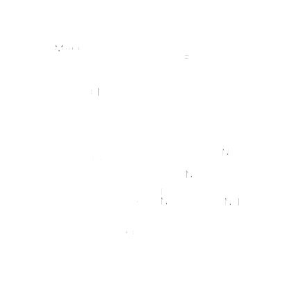 C#CC(=O)N[C@H]1CCC[C@H]1Nc1ncc2cc(-c3c(F)ccc(OC)c3Cl)ccc2n1